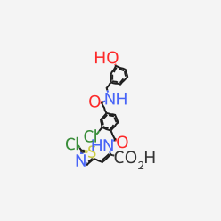 O=C(O)/C(=C/c1cnc(Cl)s1)NC(=O)c1ccc(C(=O)NCc2cccc(O)c2)cc1Cl